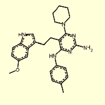 COc1ccc2[nH]cc(CCc3c(Nc4ccc(C)cc4)nc(N)nc3N3CCCCC3)c2c1